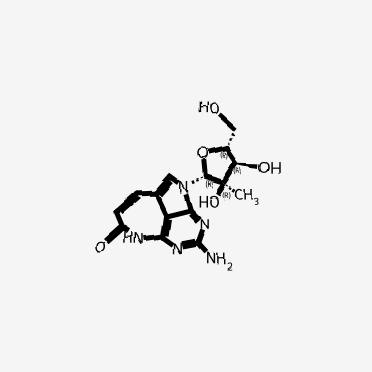 C[C@@]1(O)[C@H](O)[C@@H](CO)O[C@H]1n1cc2c3c(nc(N)nc31)NC(=O)C=C2